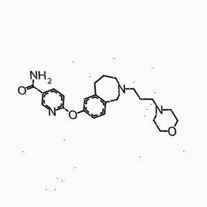 NC(=O)c1ccc(Oc2ccc3c(c2)CCCN(CCCN2CCOCC2)C3)nc1